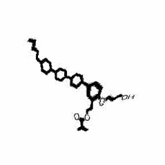 C=C(C)C(=O)OCCc1cc(C2CCC(C3CCC(C4CCC(CCCCC)CC4)CC3)CC2)ccc1OCCCO